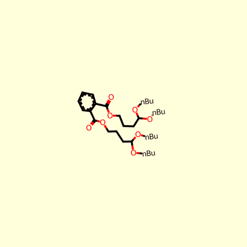 CCCCOC(CCCOC(=O)c1ccccc1C(=O)OCCCC(OCCCC)OCCCC)OCCCC